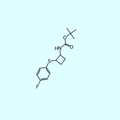 CC(C)(C)OC(=O)NC1CCC1Sc1ccc(F)cc1